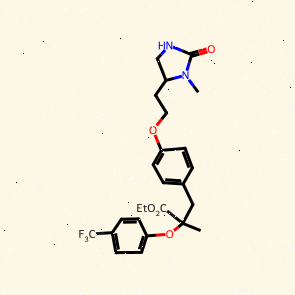 CCOC(=O)C(C)(Cc1ccc(OCCC2CNC(=O)N2C)cc1)Oc1ccc(C(F)(F)F)cc1